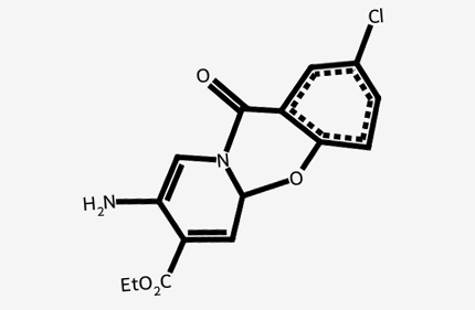 CCOC(=O)C1=CC2Oc3ccc(Cl)cc3C(=O)N2C=C1N